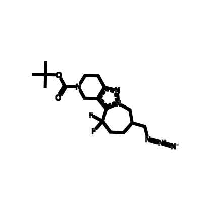 CC(C)(C)OC(=O)N1CCc2nn3c(c2C1)C(F)(F)CCC(CN=[N+]=[N-])C3